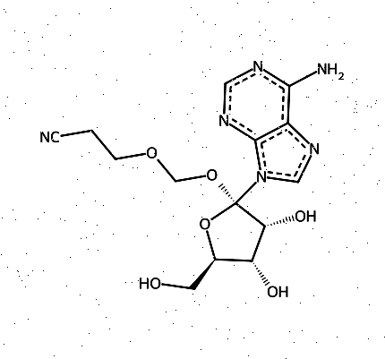 N#CCCOCO[C@@]1(n2cnc3c(N)ncnc32)O[C@H](CO)[C@@H](O)[C@H]1O